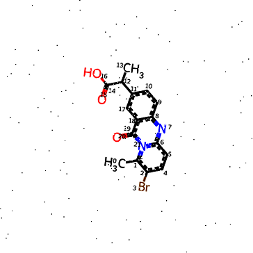 Cc1c(Br)ccc2nc3ccc(C(C)C(=O)O)cc3c(=O)n12